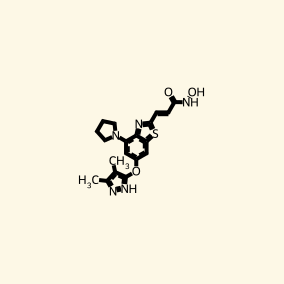 Cc1n[nH]c(Oc2cc(N3CCCC3)c3nc(/C=C/C(=O)NO)sc3c2)c1C